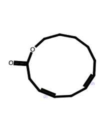 O=C1C/C=C\C/C=C\CCCCCO1